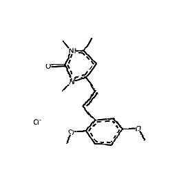 COc1ccc(OC)c(/C=C/c2cc(C)[n+](C)c(=O)n2C)c1.[Cl-]